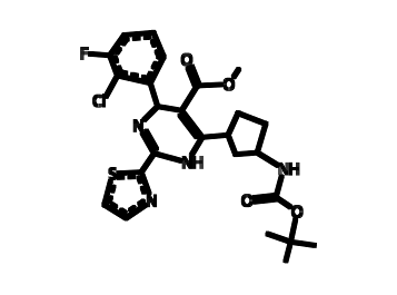 COC(=O)C1=C(C2CCC(NC(=O)OC(C)(C)C)C2)NC(c2nccs2)=NC1c1cccc(F)c1Cl